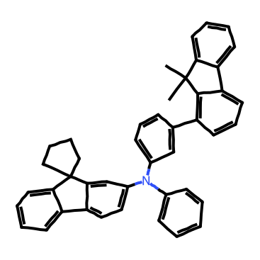 CC1(C)c2ccccc2-c2cccc(-c3cccc(N(c4ccccc4)c4ccc5c(c4)C4(CCCC4)c4ccccc4-5)c3)c21